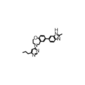 CCCc1cc(N2CCOc3ccc(-c4ccc5nc(C)[nH]c5c4)cc3C2)ncn1